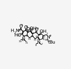 CN(Cc1cc(N(C)C)c2c(c1O)C(=O)C1=C(O)C3(O)C(=O)C(C(N)=O)=C(O)C(N(C)C)C3CC1C2)CC(C)(C)C